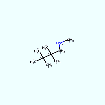 CC(C)(C)C(C)(C)[SiH2]N[SiH3]